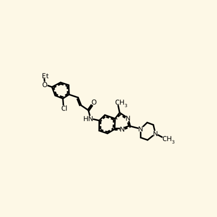 CCOc1ccc(/C=C/C(=O)Nc2ccc3nc(N4CCN(C)CC4)nc(C)c3c2)c(Cl)c1